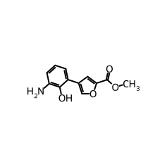 COC(=O)c1cc(-c2cccc(N)c2O)co1